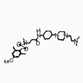 COc1cc(C)c(S(=O)(=O)N(C)CCC(=O)NC2CCC(N3CCN(CCN(C)C)CC3)CC2)c(C)c1